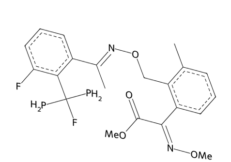 CO/N=C(/C(=O)OC)c1cccc(C)c1CO/N=C(\C)c1cccc(F)c1C(F)(P)P